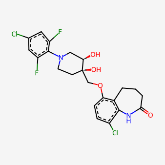 O=C1CCCc2c(OC[C@]3(O)CCN(c4c(F)cc(Cl)cc4F)C[C@H]3O)ccc(Cl)c2N1